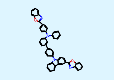 c1ccc(N(c2ccc(-c3nc4ccccc4o3)cc2)c2cccc(-c3ccc(-n4c5ccccc5c5cc(-c6nc7ccccc7o6)ccc54)cc3)c2)cc1